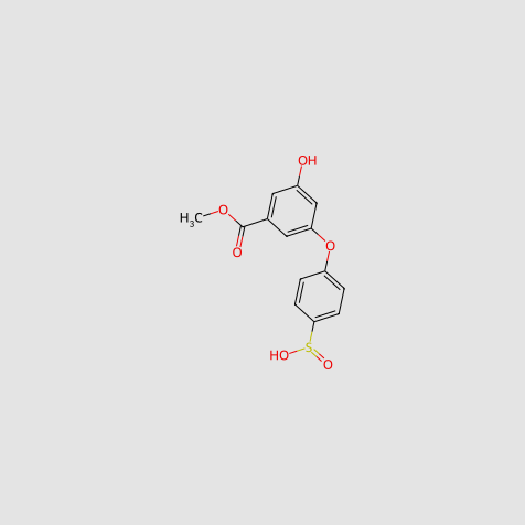 COC(=O)c1cc(O)cc(Oc2ccc(S(=O)O)cc2)c1